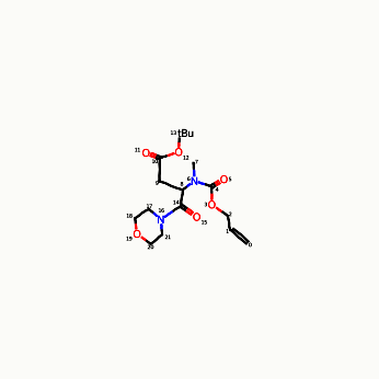 C=CCOC(=O)N(C)C(CC(=O)OC(C)(C)C)C(=O)N1CCOCC1